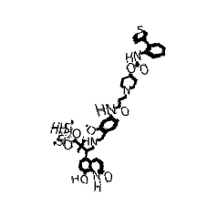 COc1cc(NC(=O)CCN2CCC(OC(=O)Nc3ccccc3-c3ccsc3)CC2)ccc1CNCC(c1ccc(O)c2[nH]c(=O)ccc12)C(C)(C)C(O[SiH2]C)O[SiH2]C